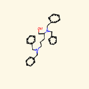 OCC(CCCN(Cc1ccccc1)Cc1ccccc1)N(Cc1ccccc1)Cc1ccccc1